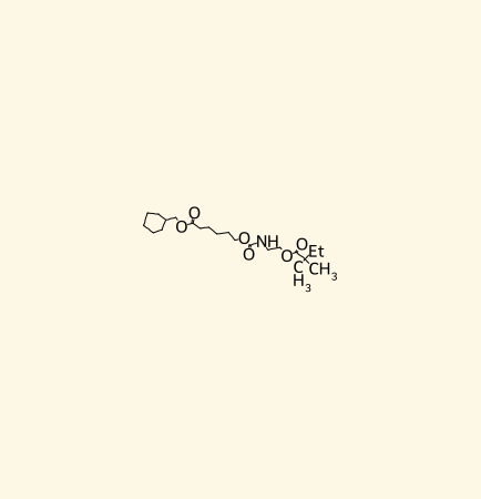 CCC(C)(C)C(=O)OCCNC(=O)OCCCCCC(=O)OCC1CCCCC1